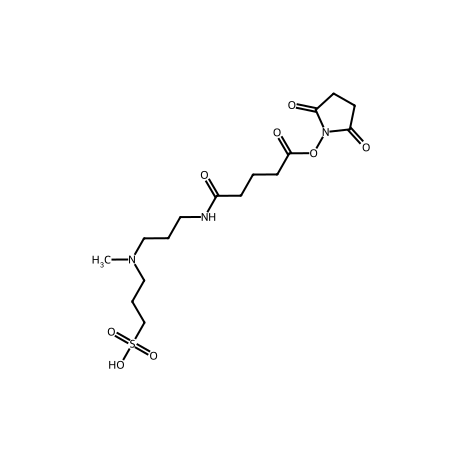 CN(CCCNC(=O)CCCC(=O)ON1C(=O)CCC1=O)CCCS(=O)(=O)O